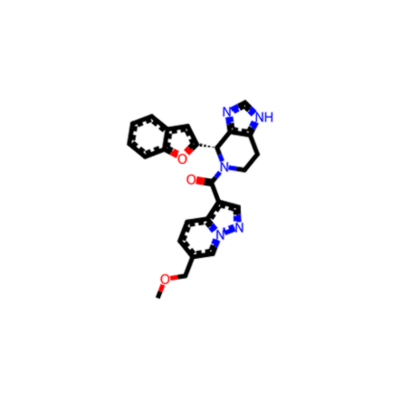 COCc1ccc2c(C(=O)N3CCc4[nH]cnc4[C@H]3c3cc4ccccc4o3)cnn2c1